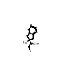 CCC(O)C1(O)Cc2ccccc2C1